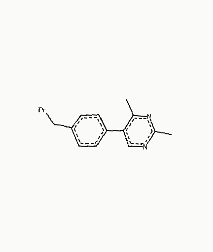 Cc1ncc(-c2ccc(CC(C)C)cc2)c(C)n1